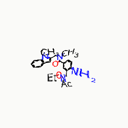 CCON(Cc1cc(C(=O)N(C)Cc2cc3ccccc3n2C)ccc1N)C(C)=O